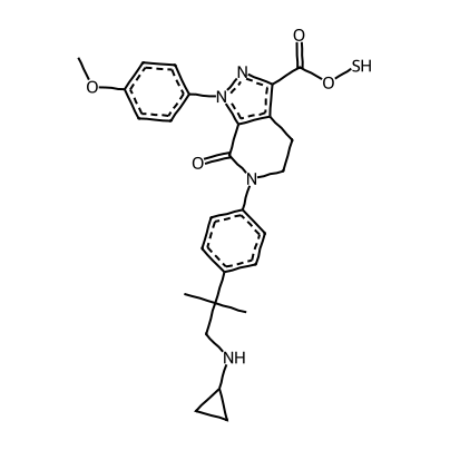 COc1ccc(-n2nc(C(=O)OS)c3c2C(=O)N(c2ccc(C(C)(C)CNC4CC4)cc2)CC3)cc1